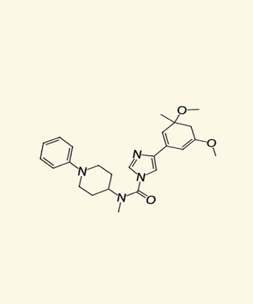 COC1=CC(c2cn(C(=O)N(C)C3CCN(c4ccccc4)CC3)cn2)=CC(C)(OC)C1